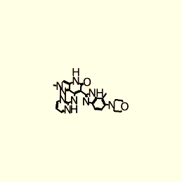 Cc1c(N2CCOCC2)ccc2nc(-c3c(Nc4ncccn4)c4nn(C)cc4[nH]c3=O)[nH]c12